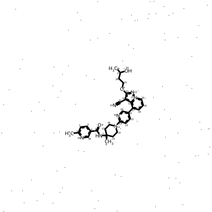 Cc1ccc(C(=O)NC2(C)CCN(c3ccc(-c4cccn5nc(OCCC(C)O)c(C#N)c45)cn3)CC2)cn1